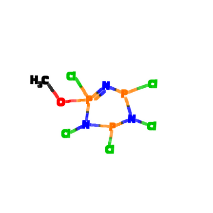 COP1(Cl)=NP(Cl)N(Cl)P(Cl)N1Cl